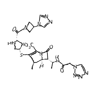 CC(NC(=O)Cn1cnnn1)[C@H]1C(=O)N2C(C(=O)O)=C(S[C@@H]3CN[C@H](C(=O)N4CC(n5cnnc5)C4)C3)[C@H](C)[C@H]12